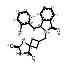 O=C1NC(=O)C2(CC(CN3C(=O)c4ccccc4C3Cc3ncccc3Br)C2)O1